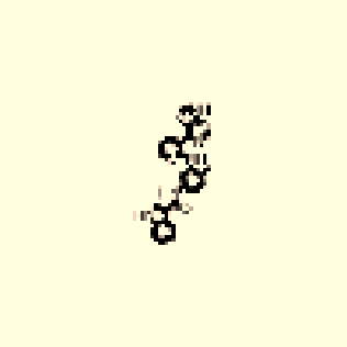 Cc1ccc(NC(=O)c2c[nH]c3ccccc23)cc1Nc1ncccc1-c1ncnc2[nH]cnc12